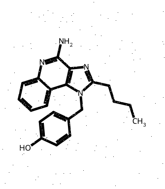 CCCCc1nc2c(N)nc3ccccc3c2n1Cc1ccc(O)cc1